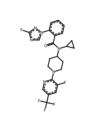 O=C(c1ccccc1-n1cnc(F)n1)N(C1CC1)C1CCN(c2ncc(C(F)(F)F)cc2F)CC1